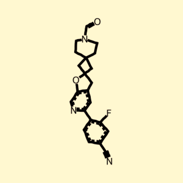 N#Cc1ccc(-c2cc3c(cn2)OC2(C3)CC3(CCN(C=O)CC3)C2)c(F)c1